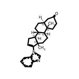 C[C@]12CCC(=O)C[C@@H]1CC[C@@H]1[C@@H]2CC[C@]2(C)C(n3cnc4ccccc43)=CC[C@@H]12